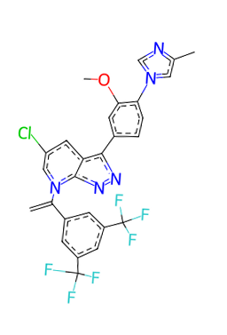 C=C(c1cc(C(F)(F)F)cc(C(F)(F)F)c1)n1cc(Cl)cc2c(-c3ccc(-n4cnc(C)c4)c(OC)c3)nnc1-2